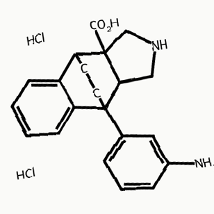 Cl.Cl.Nc1cccc(C23CCC(c4ccccc42)C2(C(=O)O)CNCC32)c1